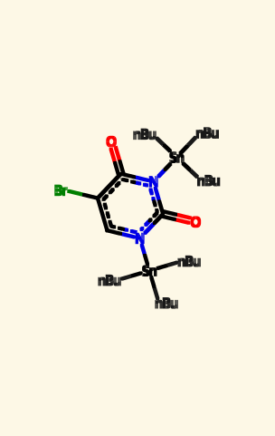 CCC[CH2][Sn]([CH2]CCC)([CH2]CCC)[n]1cc(Br)c(=O)[n]([Sn]([CH2]CCC)([CH2]CCC)[CH2]CCC)c1=O